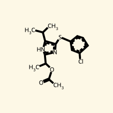 CC(=O)OC(C)c1nc(Sc2cccc(Cl)c2)c(C(C)C)[nH]1